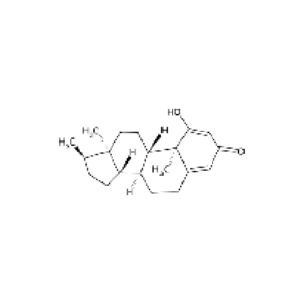 C[C@@H]1CC[C@H]2[C@@H]3CCC4=CC(=O)C=C(O)[C@]4(C)[C@H]3CC[C@]12C